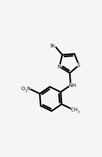 Cc1ccc([N+](=O)[O-])cc1Nc1nc(Br)cs1